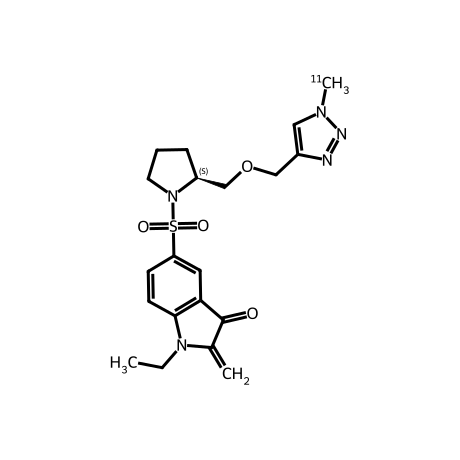 C=C1C(=O)c2cc(S(=O)(=O)N3CCC[C@H]3COCc3cn([11CH3])nn3)ccc2N1CC